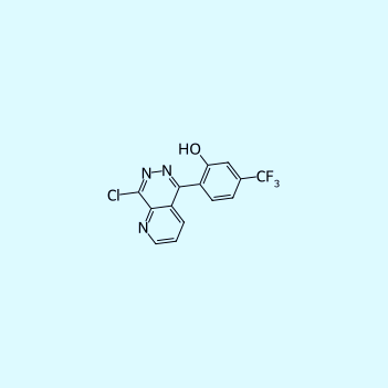 Oc1cc(C(F)(F)F)ccc1-c1nnc(Cl)c2ncccc12